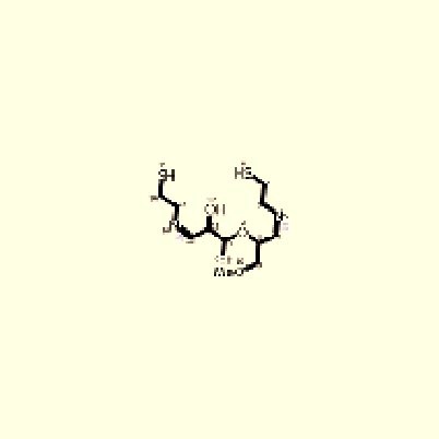 CCC(OC(/C=N\CCS)COC)C(O)/C=N\CCS